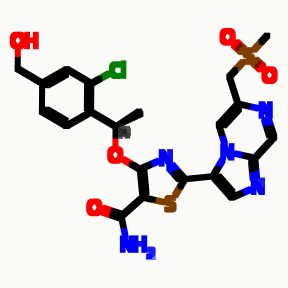 C[C@@H](Oc1nc(-c2cnc3cnc(CS(C)(=O)=O)cn23)sc1C(N)=O)c1ccc(CO)cc1Cl